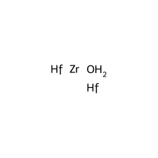 O.[Hf].[Hf].[Zr]